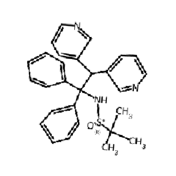 CC(C)(C)[S@+]([O-])NC(c1ccccc1)(c1ccccc1)C(c1cccnc1)c1cccnc1